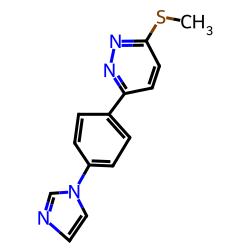 CSc1ccc(-c2ccc(-n3ccnc3)cc2)nn1